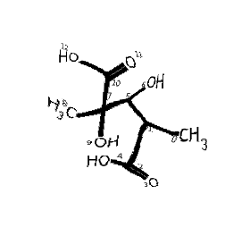 CC(C(=O)O)C(O)C(C)(O)C(=O)O